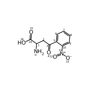 NC(CC(=O)c1ccccc1[N+](=O)[O-])C(=O)O